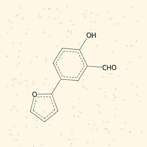 O=Cc1cc(-c2ccco2)ccc1O